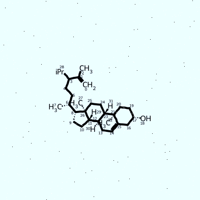 C=C(C)C(CC[C@@H](C)[C@H]1CC[C@H]2[C@@H]3CC=C4C[C@@H](O)CC[C@]4(C)[C@H]3CC[C@]12C)C(C)C